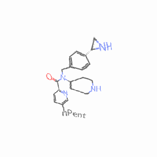 CCCCCc1ccc(C(=O)N(Cc2ccc([C@@H]3CN3)cc2)C2CCNCC2)nc1